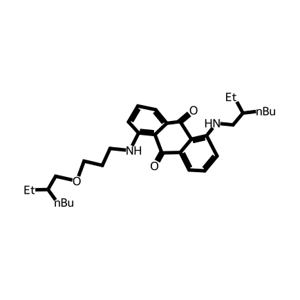 CCCCC(CC)CNc1cccc2c1C(=O)c1cccc(NCCCOCC(CC)CCCC)c1C2=O